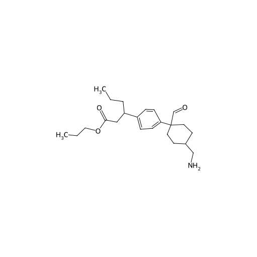 CCCOC(=O)CC(CCC)c1ccc(C2(C=O)CCC(CN)CC2)cc1